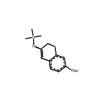 COc1ccc2c(c1)CCC(O[Si](C)(C)C)=C2